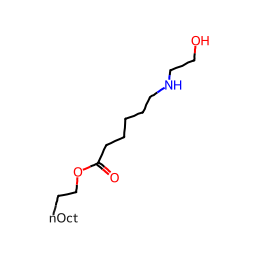 CCCCCCCCCCOC(=O)CCCCCNCCO